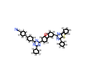 N#Cc1ccc(-c2ccc(-c3nc(-c4ccccc4)nc(-c4ccc5c(c4)oc4ccc(-c6nc(-c7ccccc7)c7sc8ccccc8c7n6)cc45)n3)cc2)cc1